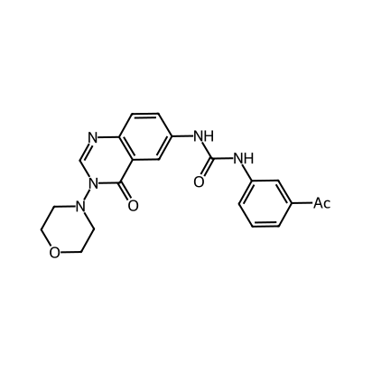 CC(=O)c1cccc(NC(=O)Nc2ccc3ncn(N4CCOCC4)c(=O)c3c2)c1